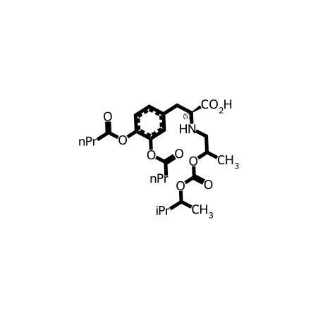 CCCC(=O)Oc1ccc(C[C@H](NCC(C)OC(=O)OC(C)C(C)C)C(=O)O)cc1OC(=O)CCC